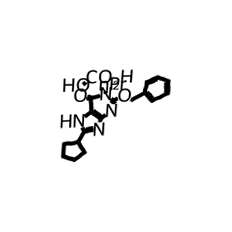 CCCn1c(OCc2ccccc2)nc2nc(C3CCCC3)[nH]c2c1=O.O=C(O)O